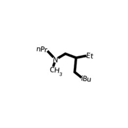 CCCN(C)CC(CC)CC(C)CC